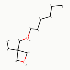 CCCCCCOCC1(CC)COC1